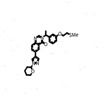 CSCCOc1cccc(C(C)n2cnc3ccc(-c4cnn(C5CCCCO5)c4)cc3c2=O)c1